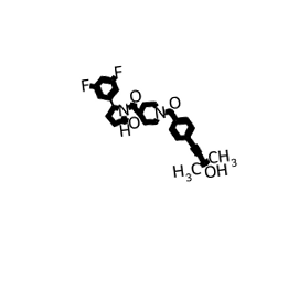 CC(C)(O)C#Cc1ccc(C(=O)N2CCC3(CC2)O[C@@H]2CC[C@@H](c4cc(F)cc(F)c4)N2C3=O)cc1